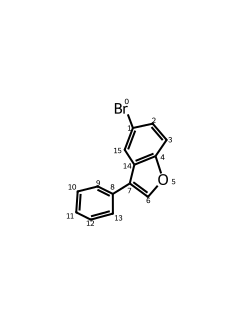 Brc1ccc2occ(-c3ccccc3)c2c1